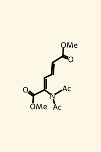 COC(=O)C=CC=C(C(=O)OC)N(C(C)=O)C(C)=O